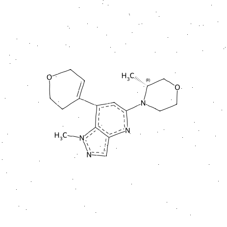 C[C@@H]1COCCN1c1cc(C2=CCOCC2)c2c(cnn2C)n1